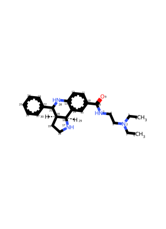 CCN(CC)CCNC(=O)c1ccc2c(c1)[C@H]1NCC[C@H]1C(c1ccccc1)N2